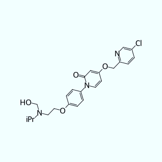 CC(C)N(CO)CCOc1ccc(-n2ccc(OCc3ccc(Cl)cn3)cc2=O)cc1